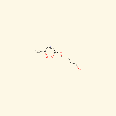 CC(=O)OC(=O)/C=C\C(=O)OCCCCO